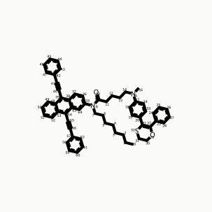 CCCCCCCCN(C(=O)CCCCN(C)c1ccc(C2=C(c3ccccc3)OCCS2)cc1)c1ccc2c(C#Cc3ccccc3)c3ccccc3c(C#Cc3ccccc3)c2c1